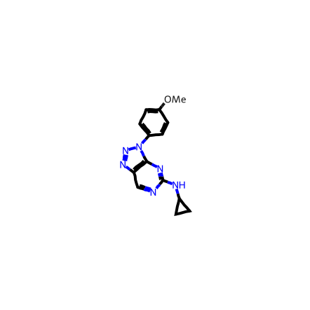 COc1ccc(-n2nnc3cnc(NC4CC4)nc32)cc1